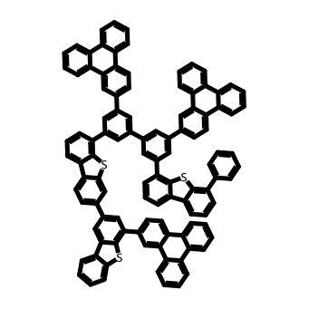 c1ccc(-c2cccc3c2sc2c(-c4cc(-c5cc(-c6ccc7c8ccccc8c8ccccc8c7c6)cc(-c6cccc7c6sc6cc(-c8cc(-c9ccc%10c%11ccccc%11c%11ccccc%11c%10c9)c9sc%10ccccc%10c9c8)ccc67)c5)cc(-c5ccc6c7ccccc7c7ccccc7c6c5)c4)cccc23)cc1